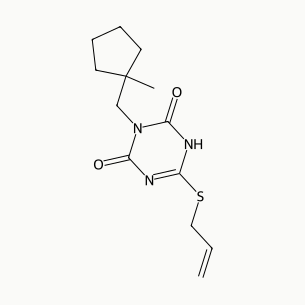 C=CCSc1nc(=O)n(CC2(C)CCCC2)c(=O)[nH]1